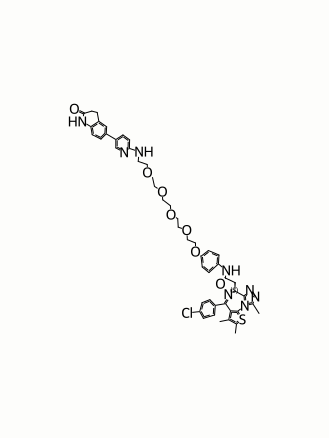 Cc1sc2c(c1C)C(c1ccc(Cl)cc1)=N[C@@H](CC(=O)Nc1ccc(OCCOCCOCCOCCOCCNc3ccc(-c4ccc5c(c4)CCC(=O)N5)cn3)cc1)c1nnc(C)n1-2